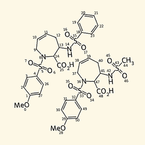 COc1ccc(S(=O)(=O)N2CC=CCC(NS(=O)(=O)c3ccccc3)C2C(=O)O)cc1.COc1ccc(S(=O)(=O)N2CC=CCC(NS(C)(=O)=O)C2C(=O)O)cc1